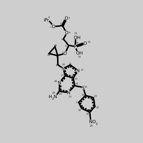 CC(C)OC(=O)OCC(OC1(Cn2cnc3c(Sc4ccc([N+](=O)[O-])cc4)nc(N)nc32)CC1)P(=O)(O)O